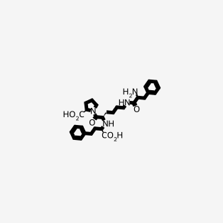 N[C@@H](Cc1ccccc1)C(=O)NCCCC[C@H](N[C@@H](CCc1ccccc1)C(=O)O)C(=O)N1CCC[C@H]1C(=O)O